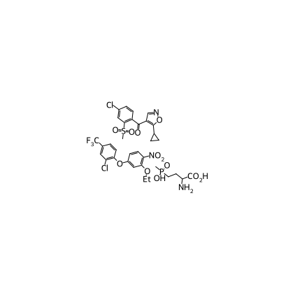 CCOc1cc(Oc2ccc(C(F)(F)F)cc2Cl)ccc1[N+](=O)[O-].CP(=O)(O)CCC(N)C(=O)O.CS(=O)(=O)c1cc(Cl)ccc1C(=O)c1cnoc1C1CC1